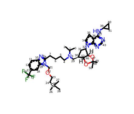 CC(C)N(CCCCc1nc2ccc(C(F)(F)F)cc2n1COCC[Si](C)(C)C)C[C@H]1C[C@@H](n2ccc3c(NC4CC4)ncnc32)[C@@H]2OC(C)(C)O[C@H]12